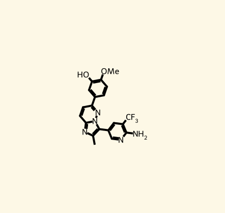 COc1ccc(-c2ccc3nc(C)c(-c4cnc(N)c(C(F)(F)F)c4)n3n2)cc1O